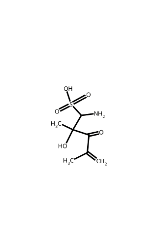 C=C(C)C(=O)C(C)(O)C(N)S(=O)(=O)O